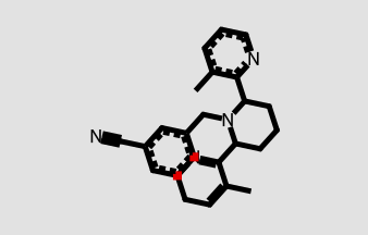 CC1=CCCN=C1C1CCCC(c2ncccc2C)N1Cc1cccc(C#N)c1